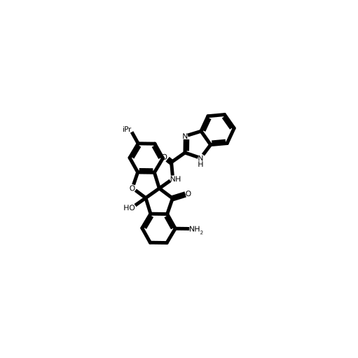 CC(C)c1ccc2c(c1)OC1(O)C3=CCCC(N)=C3C(=O)C21NC(=O)c1nc2ccccc2[nH]1